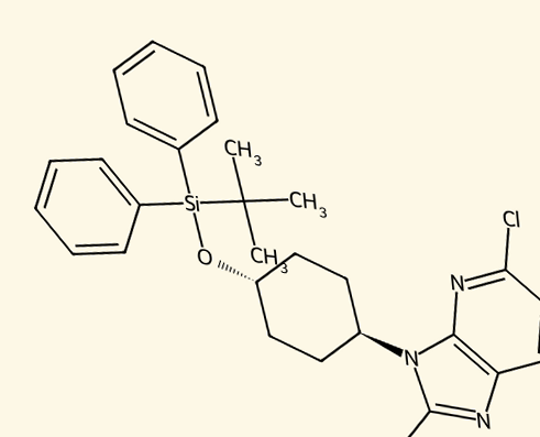 CC(C)(C)[Si](O[C@H]1CC[C@H](n2c(Cl)nc3cnc(Cl)nc32)CC1)(c1ccccc1)c1ccccc1